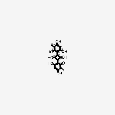 Cc1c(O)cc(O)c(C2C(O)C(c3c(O)cc(O)c(C)c3O)C2O)c1O